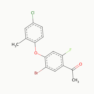 CC(=O)c1cc(Br)c(Oc2ccc(Cl)cc2C)cc1F